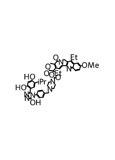 CCc1c2c(nc3ccc(OC)cc13)-c1cc3c(c(=O)n1C2)COC(=O)C3(CC)OC(=O)N1CCN(Cc2ccc(-n3c(O)nnc3-c3cc(C(C)C)c(O)cc3O)cc2)CC1